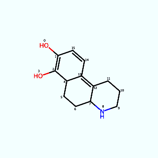 OC1=C(O)C2CCC3NCCCC3=C2C=C1